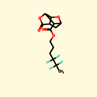 CC(F)(F)C(F)(F)CCCOC(=O)C1C2CC3C(=O)OC1C3O2